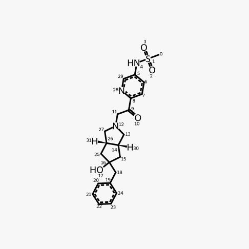 CS(=O)(=O)Nc1ccc(C(=O)CN2C[C@@H]3CC(O)(Cc4ccccc4)C[C@@H]3C2)nc1